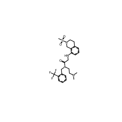 CN(C)CCN(Cc1ccccc1C(F)(F)F)C(=O)CNc1cccc2c1CN(S(C)(=O)=O)CC2